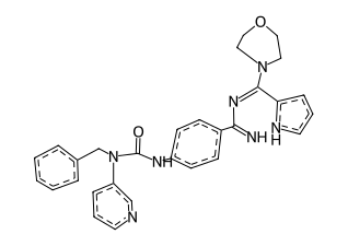 N=C(/N=C(\c1ccc[nH]1)N1CCOCC1)c1ccc(NC(=O)N(Cc2ccccc2)c2cccnc2)cc1